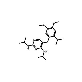 COc1cc(Cc2cnc(NC(C)C)nc2NC(C)C)c(C(C)C)cc1OC